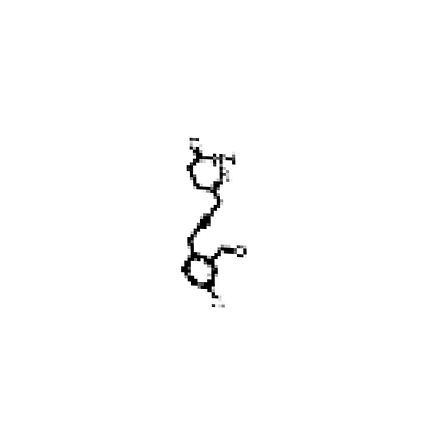 O=Cc1cc(Cl)ccc1CC#CCC1=NNC(=O)CC1